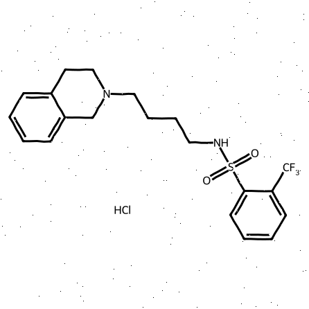 Cl.O=S(=O)(NCCCCN1CCc2ccccc2C1)c1ccccc1C(F)(F)F